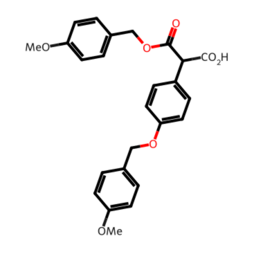 COc1ccc(COC(=O)C(C(=O)O)c2ccc(OCc3ccc(OC)cc3)cc2)cc1